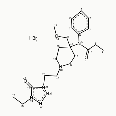 Br.CCC(=O)N(c1ccccc1)C1(COC)CCN(CCn2nnn(CC)c2=O)CC1